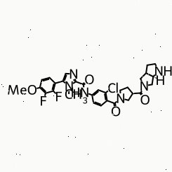 COc1ccc(-c2cnc(C(=O)Nc3ccc(C(=O)N4CCC(C(=O)N5CC6CCN[C@H]6C5)C4)c(Cl)c3)n2C)c(F)c1F